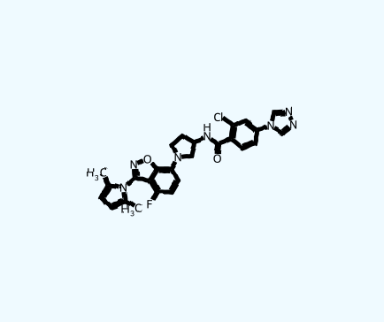 Cc1ccc(C)n1-c1noc2c(N3CCC(NC(=O)c4ccc(-n5cnnc5)cc4Cl)C3)ccc(F)c12